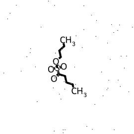 CCCCOS(=O)(=O)C(=O)CCCC